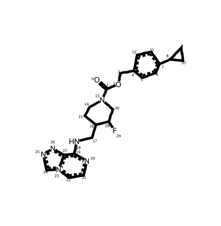 O=C(OCc1ccc(C2CC2)cc1)N1CCC(CNc2nccn3cnnc23)C(F)C1